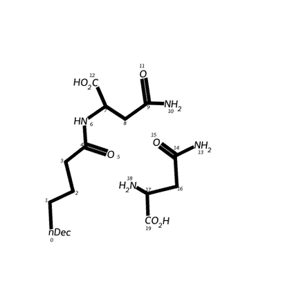 CCCCCCCCCCCCCC(=O)NC(CC(N)=O)C(=O)O.NC(=O)CC(N)C(=O)O